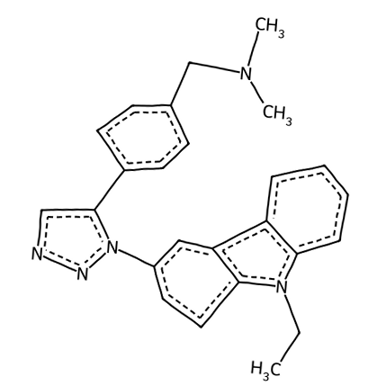 CCn1c2ccccc2c2cc(-n3nncc3-c3ccc(CN(C)C)cc3)ccc21